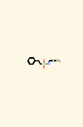 C=C=CNS(=O)(=O)CCc1ccccc1